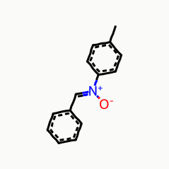 Cc1ccc([N+]([O-])=Cc2ccccc2)cc1